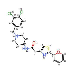 O=C(Cc1csc(C2C=CC=CO2)n1)NC1CCN(Cc2ccc(Cl)c(Cl)c2)CC1